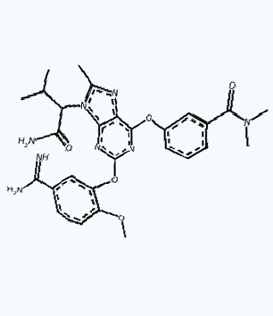 COc1ccc(C(=N)N)cc1Oc1nc(Oc2cccc(C(=O)N(C)C)c2)c2nc(C)n(C(C(N)=O)C(C)C)c2n1